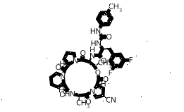 Cc1ccc(NC(=O)N[C@@H](Cc2cc(F)cc(F)c2)C(=O)N[C@@H]2C(=O)N3CCC[C@H]3C(=O)N3CCCC[C@H]3C(=O)N[C@@H](C)C(=O)N3C[C@@H](C#N)C[C@H]3C(=O)O[C@H]2C)cc1